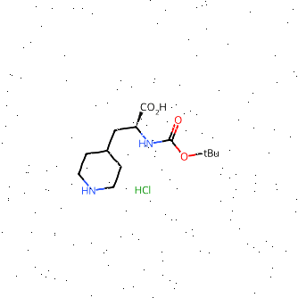 CC(C)(C)OC(=O)N[C@@H](CC1CCNCC1)C(=O)O.Cl